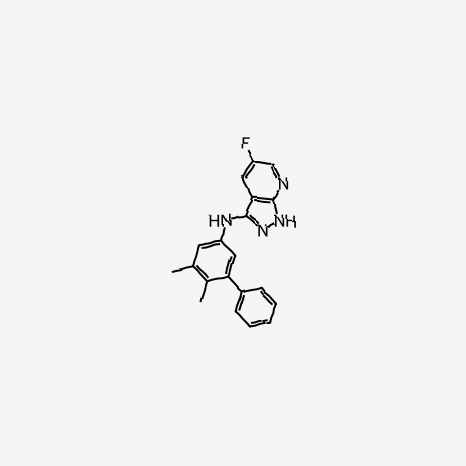 Cc1cc(Nc2n[nH]c3ncc(F)cc23)cc(-c2ccccc2)c1C